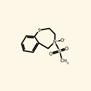 CS(=O)(=O)[N+]1([O-])CCSc2ccccc2C1